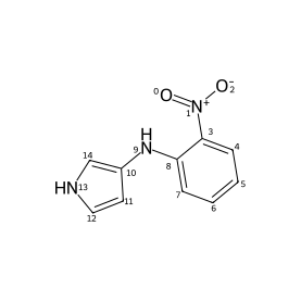 O=[N+]([O-])c1ccccc1Nc1cc[nH]c1